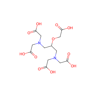 O=C(O)COC(CN(CC(=O)O)CC(=O)O)CN(CC(=O)O)CC(=O)O